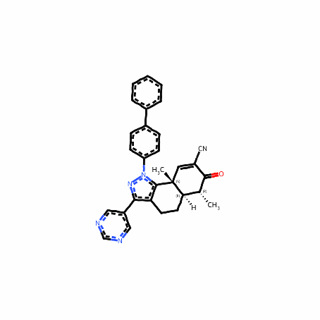 C[C@H]1C(=O)C(C#N)=C[C@@]2(C)c3c(c(-c4cncnc4)nn3-c3ccc(-c4ccccc4)cc3)CC[C@H]12